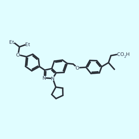 CCC(CC)Oc1ccc(-c2nn(C3CCCC3)c3cc(COc4ccc(C(C)CC(=O)O)cc4)ccc23)cc1